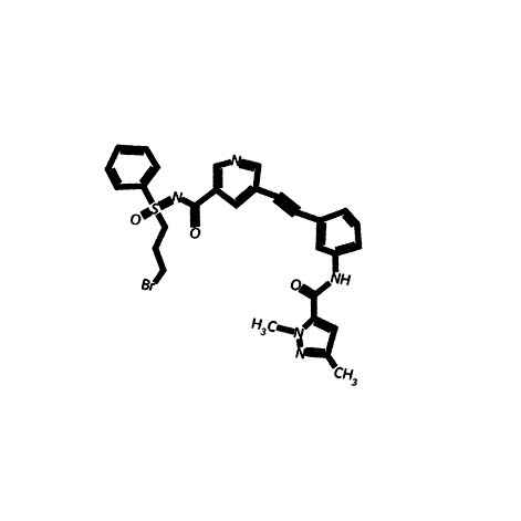 Cc1cc(C(=O)Nc2cccc(C#Cc3cncc(C(=O)N=S(=O)(CCCBr)c4ccccc4)c3)c2)n(C)n1